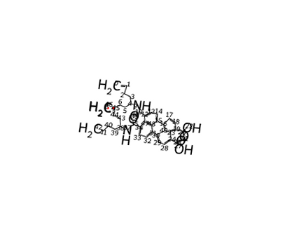 C=CCCC(CCC=C)NC(=O)c1ccc2c3ccc(C(=O)O)c4c(C(=O)O)ccc(c5ccc(C(=O)NC(CCC=C)CCC=C)c1c25)c43